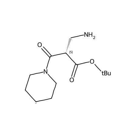 CC(C)(C)OC(=O)[C@@H](CN)C(=O)N1CC[CH]CC1